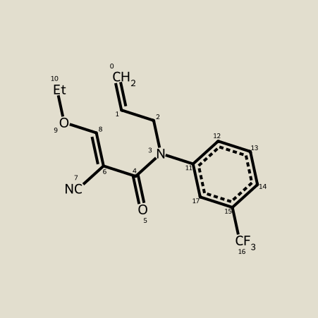 C=CCN(C(=O)C(C#N)=COCC)c1cccc(C(F)(F)F)c1